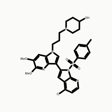 COc1cc2c(nc1OC)c(-c1cc3c(Cl)ccnc3n1S(=O)(=O)c1ccc(C)cc1)cn2CCCN1CCC(O)CC1